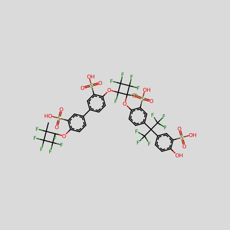 CC1(F)C(F)(F)C(F)(F)C1(F)Oc1ccc(-c2ccc(OC3(F)C(F)(F)C(F)(F)C3(F)Oc3ccc(C(c4ccc(O)c(S(=O)(=O)O)c4)(C(F)(F)F)C(F)(F)F)cc3S(=O)(=O)O)c(S(=O)(=O)O)c2)cc1S(=O)(=O)O